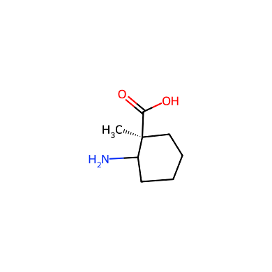 C[C@]1(C(=O)O)CCCCC1N